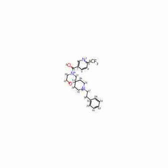 O=C(c1ccc(C(F)(F)F)nc1)N1CCOC2(CCN(CCc3ccccc3)CC2)C1